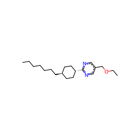 CCCCCCC[C@H]1CC[C@H](c2ncc(COCC)cn2)CC1